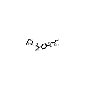 CC(NC(O)CF)c1ccc(C(O)NC[C@H]2COCCN2)cc1